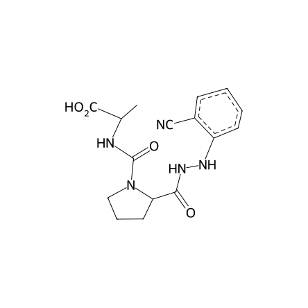 CC(NC(=O)N1CCCC1C(=O)NNc1ccccc1C#N)C(=O)O